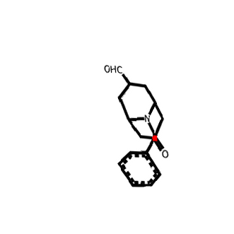 O=CC1CC2CC(=O)CC(C1)N2Cc1ccccc1